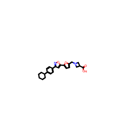 O=C(O)C1CN(Cc2ccc(-c3cc(-c4ccc(C5CCCCC5)cc4)no3)o2)C1